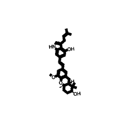 COc1cc(/C=C/c2cc(O)c3c(CC=C(C)C)c[nH]c3c2)cc2c1O[C@]1(C)CC[C@@H](O)C(C)(C)[C@H]1C2